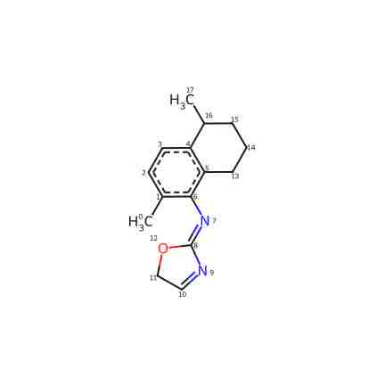 Cc1ccc2c(c1N=C1N=CCO1)CCCC2C